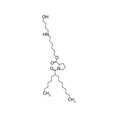 CCCCCCCCC(CCCCCC)C(=O)N1CCCC1C(=O)OCCCCCCNCCCCO